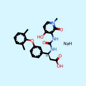 Cc1cccc(C)c1Oc1cccc([C@H](CC(=O)O)NC(=O)Nc2c(O)ccn(C)c2=O)c1.[NaH]